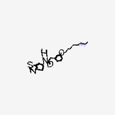 C/C=C/CCCCCOc1cccc(CC(=O)Nc2ccc3ncsc3c2)c1